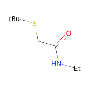 CCNC(=O)CSC(C)(C)C